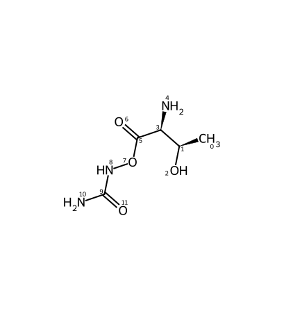 C[C@@H](O)[C@H](N)C(=O)ONC(N)=O